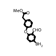 Bc1ccc(Oc2cccc(CC(=O)OC)c2)c(C=O)c1